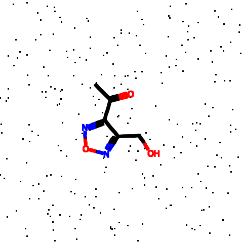 CC(=O)c1nonc1CO